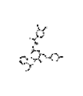 CC[C@H](CN1CC[C@@H](CNC(=O)c2ccc(Cl)c(I)c2)N[C@@H](CCN2CCN(C)CC2)C1=O)c1ccccc1